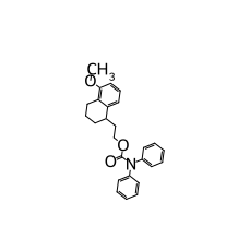 COc1cccc2c1CCCC2CCOC(=O)N(c1ccccc1)c1ccccc1